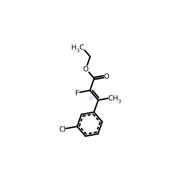 CCOC(=O)/C(F)=C(\C)c1cccc(Cl)c1